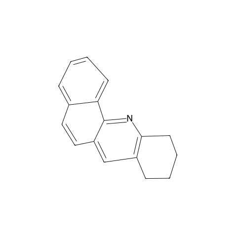 c1ccc2c(c1)ccc1cc3c(nc12)CCCC3